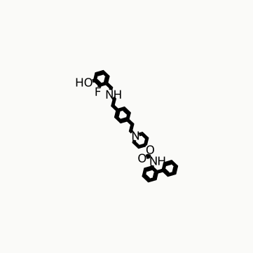 O=C(Nc1ccccc1-c1ccccc1)OC1CCN(CCc2ccc(CCNCc3cccc(O)c3F)cc2)CC1